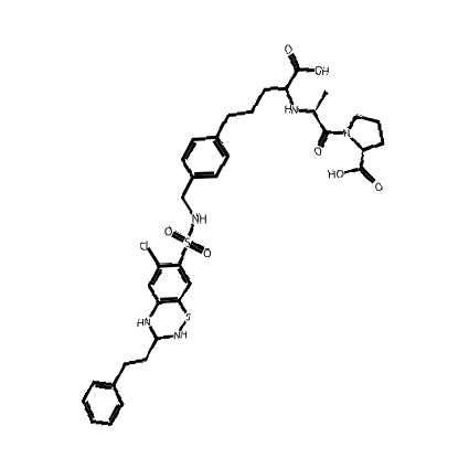 C[C@H](NC(CCCc1ccc(CNS(=O)(=O)c2cc3c(cc2Cl)NC(CCc2ccccc2)NS3)cc1)C(=O)O)C(=O)N1CCC[C@H]1C(=O)O